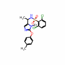 CCn1c(C(C)NS(=O)(=O)c2c(Cl)cccc2Cl)cnc1Oc1ccc(C)cc1